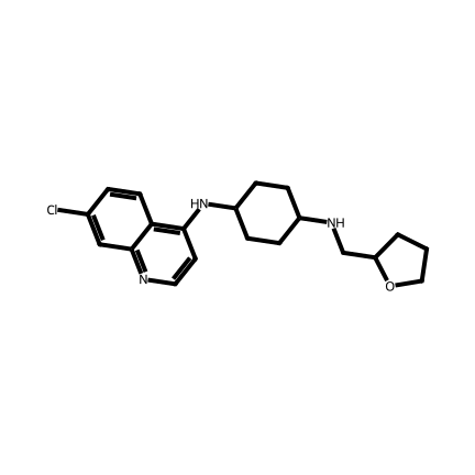 Clc1ccc2c(NC3CCC(NCC4CCCO4)CC3)ccnc2c1